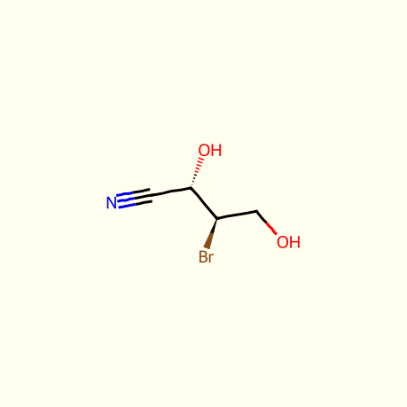 N#C[C@H](O)[C@H](Br)CO